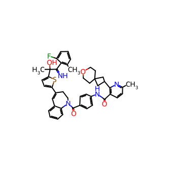 Cc1ccc(C(=O)Nc2ccc(C(=O)N3CCC(c4ccc(C(C)(O)C(=N)c5c(C)cccc5F)s4)=Cc4ccccc43)cc2)c(C2CC3(CCOCC3)C2)n1